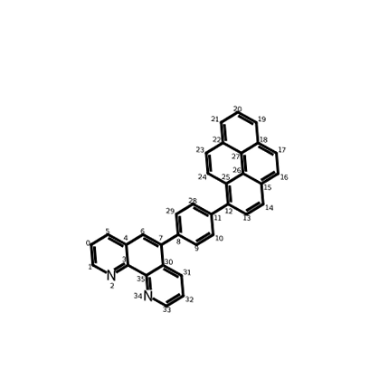 c1cnc2c(c1)cc(-c1ccc(-c3ccc4ccc5cccc6ccc3c4c56)cc1)c1cccnc12